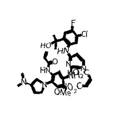 C=CC(=O)Nc1cc(Nc2nccc(Nc3cc(Cl)c(F)cc3C(C)(C)O)n2)c(OC)cc1N1CC[C@@H](N(C)C)C1.O=C(O)/C=C\C(=O)O